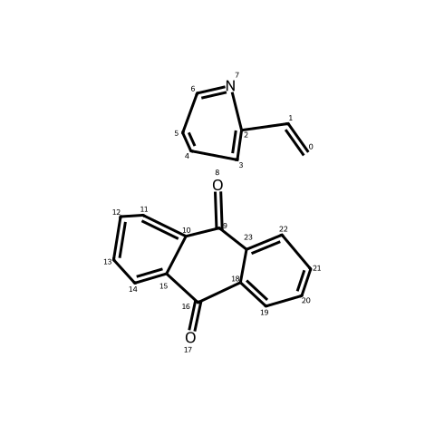 C=Cc1ccccn1.O=C1c2ccccc2C(=O)c2ccccc21